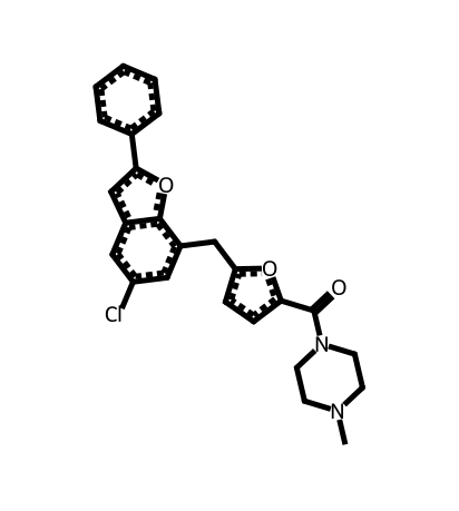 CN1CCN(C(=O)c2ccc(Cc3cc(Cl)cc4cc(-c5ccccc5)oc34)o2)CC1